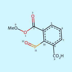 COOC(=O)c1cccc(C(=O)O)c1P=O